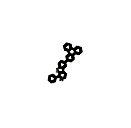 c1ccc(-c2nccc3c2sc2ccc(-c4ccc5c6ccccc6c6ccccc6c5c4)cc23)cc1